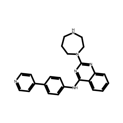 c1ccc2c(Nc3ccc(-c4ccncc4)cc3)nc(N3CCCNCC3)nc2c1